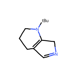 CC(C)(C)N1CCCC2=C1CN=C2